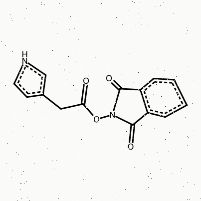 O=C(Cc1cc[nH]c1)ON1C(=O)c2ccccc2C1=O